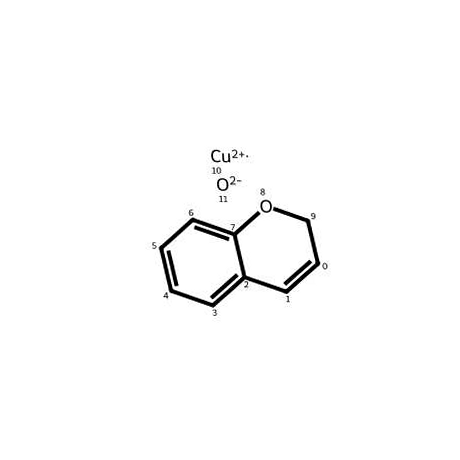 C1=Cc2ccccc2OC1.[Cu+2].[O-2]